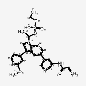 C=CC(=O)Nc1cncc(-c2cnc3c(c2)c(-c2ccnc(OC)c2)cn3C(C)OP(=O)(O)OCC)c1